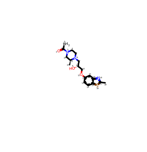 BC(=O)N1CCN(C[C@@H](O)COc2ccc3sc(C)nc3c2)[C@@H](C)C1